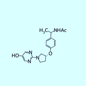 CC(=O)NC(C)c1ccc(O[C@@H]2CCN(c3ncc(O)cn3)C2)cc1